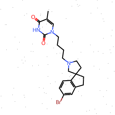 Cc1cn(CCCCN2CCC3(CCc4cc(Br)ccc43)C2)c(=O)[nH]c1=O